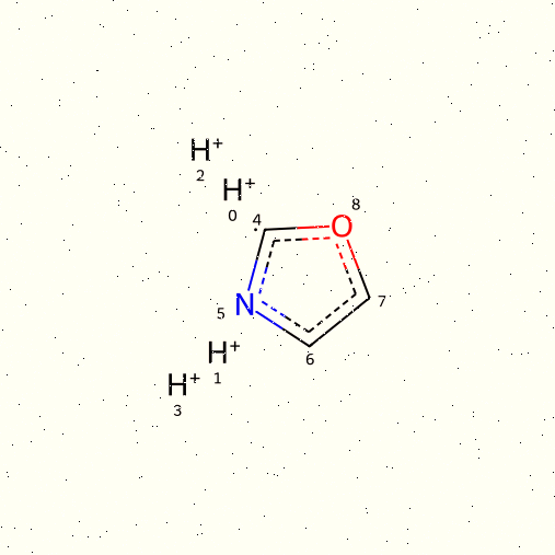 [H+].[H+].[H+].[H+].[c]1ncco1